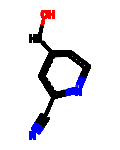 N#Cc1cc(BO)ccn1